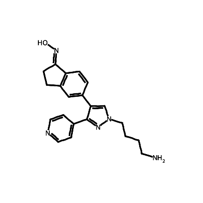 NCCCCn1cc(-c2ccc3c(c2)CC/C3=N\O)c(-c2ccncc2)n1